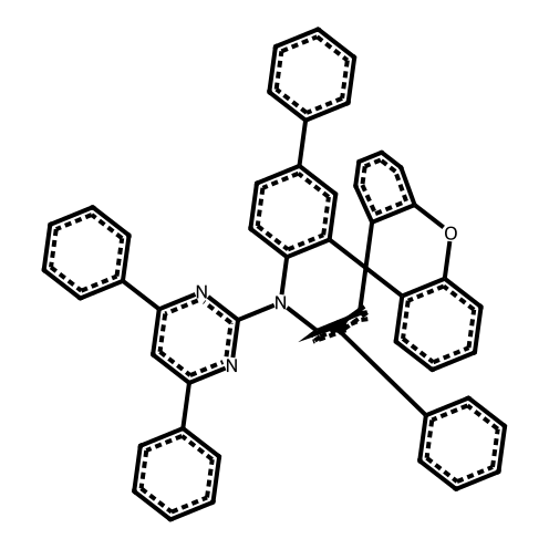 c1ccc(-c2ccc3c(c2)C2(c4ccccc4Oc4ccccc42)c2cc(-c4ccccc4)ccc2N3c2nc(-c3ccccc3)cc(-c3ccccc3)n2)cc1